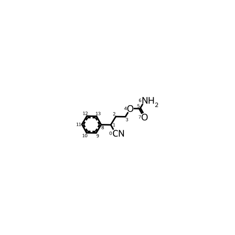 N#CC(CCOC(N)=O)c1ccccc1